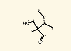 CCC(C)C(C)(C=O)CO